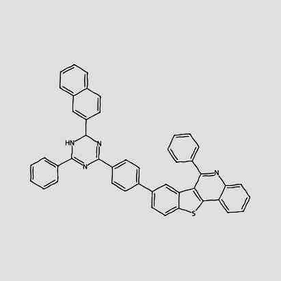 c1ccc(C2=NC(c3ccc(-c4ccc5sc6c7ccccc7nc(-c7ccccc7)c6c5c4)cc3)=NC(c3ccc4ccccc4c3)N2)cc1